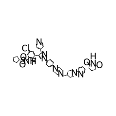 O=C1CC[C@H](c2ccc(N3CCC(CN4CCN(c5ccc(-n6cc(-c7cc(Cl)cc(NS(=O)(=O)C8CCCC8)c7F)c(-c7ccncc7)n6)cc5)CC4)CC3)nc2)C(=O)N1